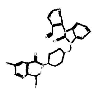 N#Cc1ccncc1-n1c(=O)n(C[C@H]2CC[C@H](NC(=O)c3cc(Cl)cnc3C(F)F)CC2)c2ccccc21